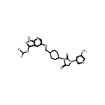 O=C1CN(c2cncc(C(F)(F)F)c2)C(=O)N1C1CCC(COc2cnc3[nH]nc(OC(F)F)c3c2)CC1